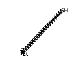 CCOS(=S)(=S)SSSSSSSSSSSSSSSSSSSSSSSSSSSSSSSSSSSSSSSSSSS